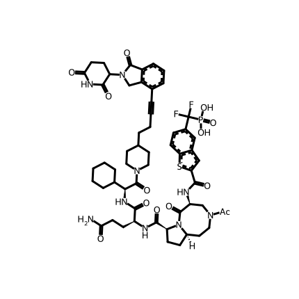 CC(=O)N1CC[C@H]2CC[C@@H](C(=O)N[C@@H](CCC(N)=O)C(=O)N[C@H](C(=O)N3CCC(CCC#Cc4cccc5c4CN(C4CCC(=O)NC4=O)C5=O)CC3)C3CCCCC3)N2C(=O)[C@@H](NC(=O)c2cc3cc(C(F)(F)P(=O)(O)O)ccc3s2)C1